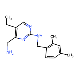 CCc1cnc(NCc2ccc(C)cc2C)nc1CN